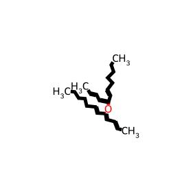 CC=CC=C(C=CCCCCC)OC(C=CCCCCC)=CC=CC